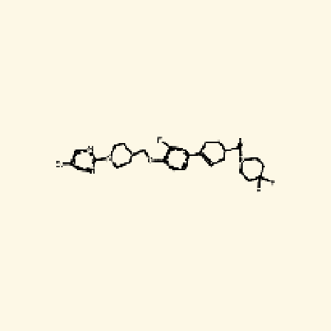 CCc1cnc(N2CCC(COc3ccc(C4=CCC(C(=O)N5CCC(F)(F)CC5)CC4)cc3F)CC2)nc1